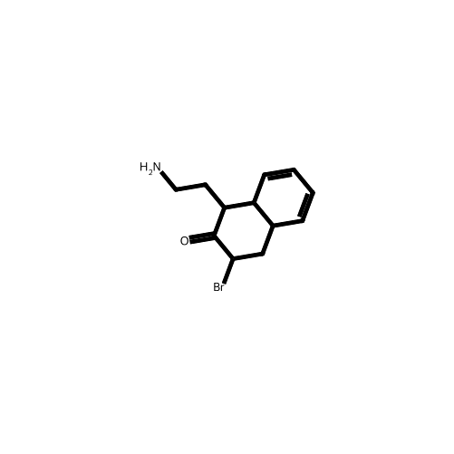 NCCC1C(=O)C(Br)CC2C=CC=CC21